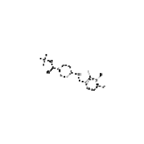 CC(C)(C)OC(=O)N1CCC(NCc2ccc(F)c(F)c2F)CC1